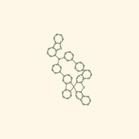 c1ccc(-c2cccc(N(c3cccc(-c4ccc5c(c4)-c4ccccc4C54c5ccc6ccccc6c5Oc5c4ccc4ccccc54)c3)c3cccc4c3sc3ccccc34)c2)cc1